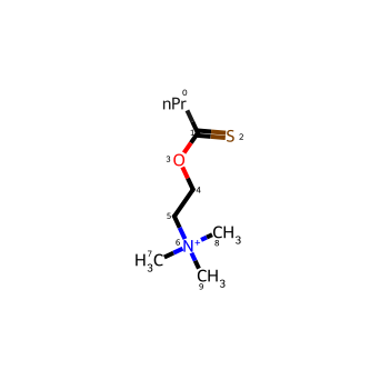 CCCC(=S)OCC[N+](C)(C)C